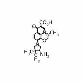 CN1COc2c(N3C[C@H](N)C(C)(C)C3)ccc3c(=O)c(C(=O)O)cn1c23